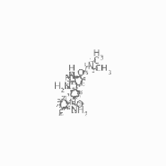 CCN(CC)CCOc1ccc(-c2ccc(N(C(N)=O)c3cccc(F)c3)cc2)c2c(N)n[nH]c12